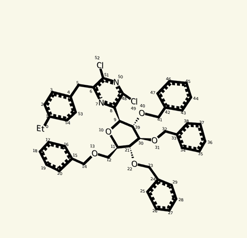 CCc1ccc(Cc2nc([C@@H]3O[C@H](COCc4ccccc4)[C@@H](OCc4ccccc4)[C@H](OCc4ccccc4)[C@H]3OCc3ccccc3)c(Cl)nc2Cl)cc1